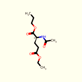 CCCOC(=O)[C@H](CCC(=O)OCC)NC(C)=O